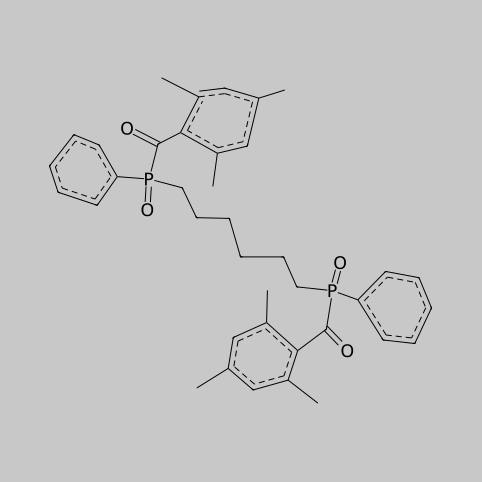 Cc1cc(C)c(C(=O)P(=O)(CCCCCCP(=O)(C(=O)c2c(C)cc(C)cc2C)c2ccccc2)c2ccccc2)c(C)c1